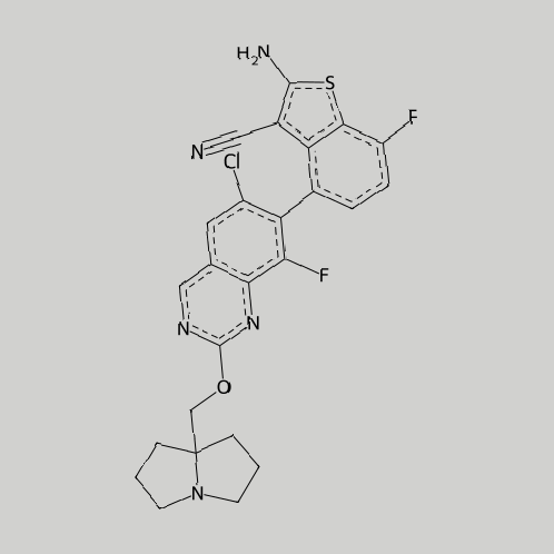 N#Cc1c(N)sc2c(F)ccc(-c3c(Cl)cc4cnc(OCC56CCCN5CCC6)nc4c3F)c12